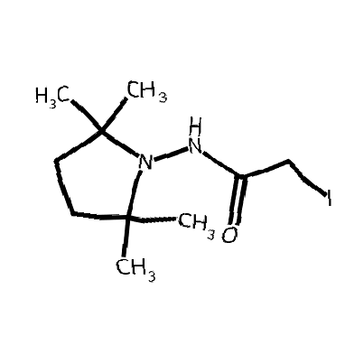 CC1(C)CCC(C)(C)N1NC(=O)CI